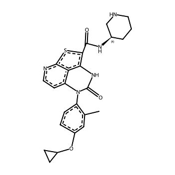 Cc1cc(OC2CC2)ccc1N1C(=O)Nc2c(C(=O)N[C@@H]3CCCNC3)sc3nccc1c23